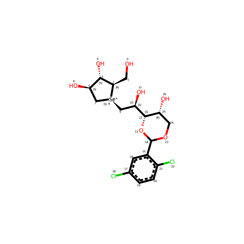 OC[C@@H]1[C@@H](O)[C@H](O)C[Se@+]1C[C@@H](O)[C@H]1OC(c2cc(Cl)ccc2Cl)OC[C@H]1O